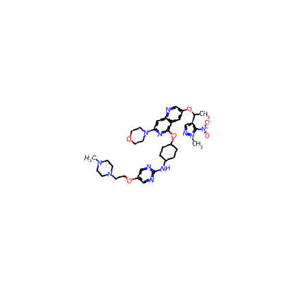 CC(Oc1cnc2cc(N3CCOCC3)nc(OC3CCC(Nc4ncc(OCCN5CCN(C)CC5)cn4)CC3)c2c1)c1cnn(C)c1[N+](=O)[O-]